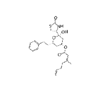 C=CCCC(C)=CC(=O)O[C@@H]1C[C@H](CCc2ccccc2)O[C@@](O)([C@@H]2CSC(=O)N2)C1